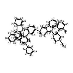 N#Cc1ccc(-n2c3ccccc3c3cc(-c4ccc(-n5c6ccccc6c6ccccc65)c(-c5nc(-c6ccccc6)nc(-c6ccccc6)n5)c4)ccc32)c(-c2c(F)cccc2F)c1